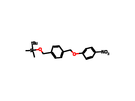 CC(C)(C)[Si](C)(C)OCc1ccc(COc2ccc([N+](=O)[O-])cc2)cc1